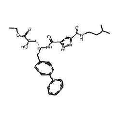 CCOC(=O)[C@H](O)C[C@@H](Cc1ccc(-c2ccccc2)cc1)NC(=O)c1cc(C(=O)NCCC(C)C)n[nH]1